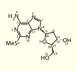 CSc1nc(N)c2ncn([C@H]3C[C@H](O)[C@@H](CO)O3)c2n1